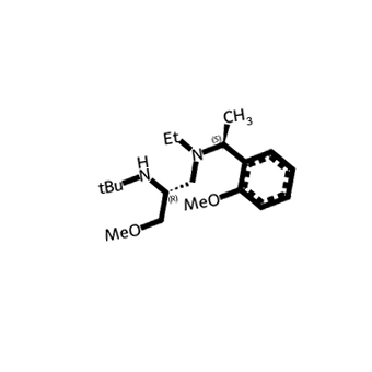 CCN(C[C@H](COC)NC(C)(C)C)[C@@H](C)c1ccccc1OC